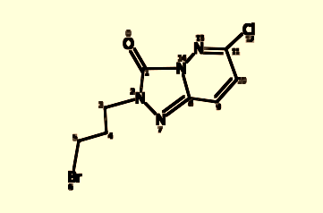 O=c1n(CCCBr)nc2ccc(Cl)nn12